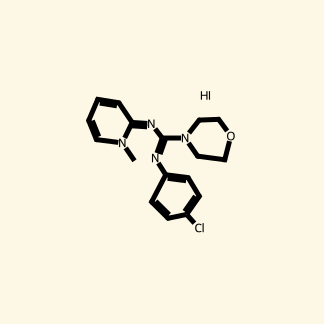 Cn1ccccc1=NC(=Nc1ccc(Cl)cc1)N1CCOCC1.I